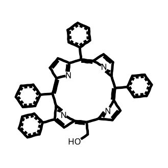 OCC1=C2C=C(c3ccccc3)C(=N2)C(c2ccccc2)=C2C=CC(=N2)C(c2ccccc2)=C2C=CC(=N2)C(c2ccccc2)=C2C=CC1=N2